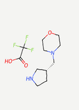 C1C[C@@H](CN2CCOCC2)CN1.O=C(O)C(F)(F)F